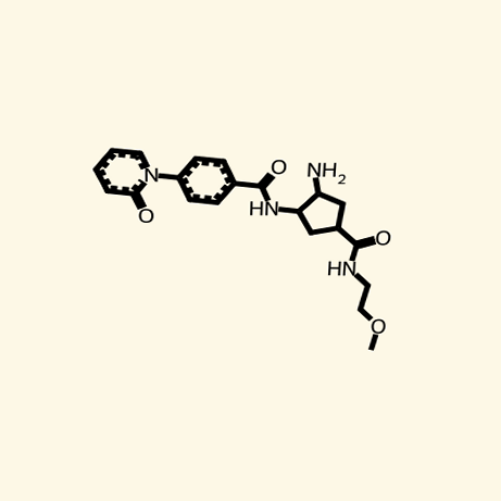 COCCNC(=O)C1CC(N)C(NC(=O)c2ccc(-n3ccccc3=O)cc2)C1